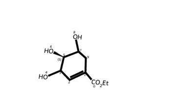 CCOC(=O)C1=CC(O)[C@@H](O)C(O)C1